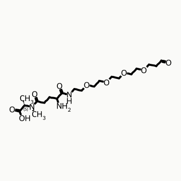 C[C@@H](C(=O)O)N(C)C(=O)CCC(N)C(=O)NCCOCCOCCOCCOCCC=O